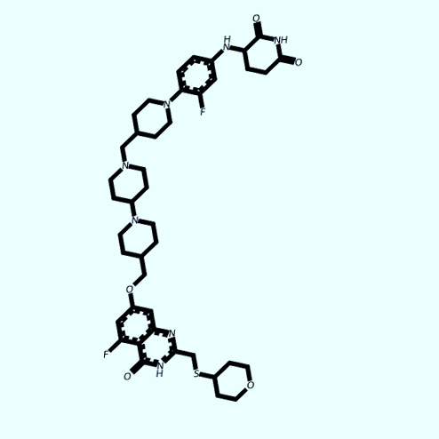 O=C1CCC(Nc2ccc(N3CCC(CN4CCC(N5CCC(COc6cc(F)c7c(=O)[nH]c(CSC8CCOCC8)nc7c6)CC5)CC4)CC3)c(F)c2)C(=O)N1